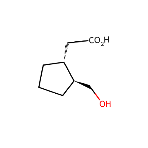 O=C(O)C[C@H]1CCC[C@@H]1CO